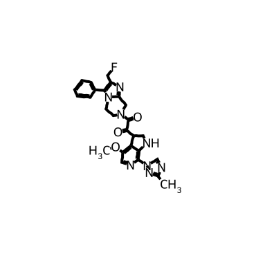 COc1cnc(-n2cnc(C)n2)c2c1C(C(=O)C(=O)N1CCn3c(nc(CF)c3-c3ccccc3)C1)CN2